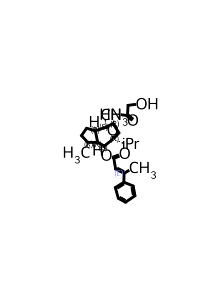 C/C(=C\C(=O)O[C@H]1[C@@H]2[C@H](C)CC[C@H]2[C@]2(C)O[C@@]1(C(C)C)C[C@H]2NC(=O)CO)c1ccccc1